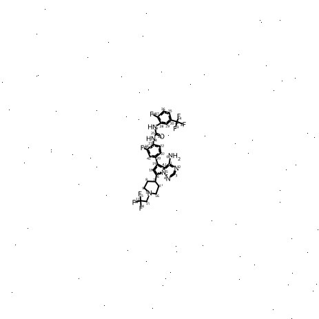 Nc1ncnn2c(C3CCN(CC(F)(F)F)CC3)cc(-c3ccc(NC(=O)Nc4cc(C(F)(F)F)ccc4F)c(F)c3)c12